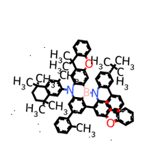 Cc1ccccc1-c1cc2c3c(c1)N(c1cc4c(cc1C)C(C)(C)CCC4(C)C)c1cc4c(cc1B3N(c1ccc(C(C)(C)C)cc1-c1ccccc1)c1cc3c(cc1-2)oc1ccccc13)Oc1ccccc1C4(C)C